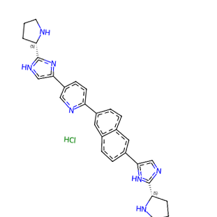 Cl.c1cc2cc(-c3cnc([C@@H]4CCCN4)[nH]3)ccc2cc1-c1ccc(-c2c[nH]c([C@@H]3CCCN3)n2)cn1